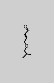 CC(C)COCC=C[C]=O